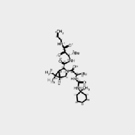 C=CCNC(=O)C(=O)[C@H](CCCC)NC(=O)[C@@H]1C2[C@H](CN1C(=O)C(NC(=O)NC1(C)CCCCC1)C(C)(C)C)C2(C)C